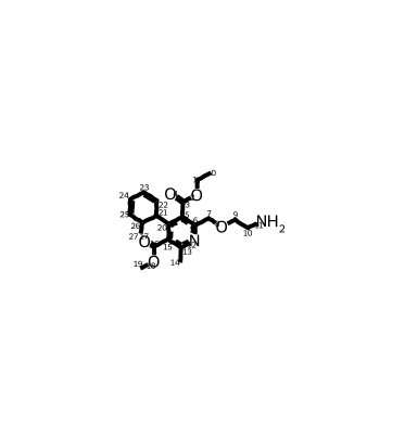 CCOC(=O)c1c(COCCN)nc(C)c(C(=O)OC)c1C1C=CC=CC1C